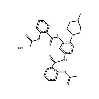 CC(=O)Oc1ccccc1C(=O)Nc1ccc(N2CCN(C)CC2)c(NC(=O)c2ccccc2OC(C)=O)c1.Cl